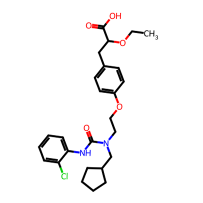 CCOC(Cc1ccc(OCCN(CC2CCCC2)C(=O)Nc2ccccc2Cl)cc1)C(=O)O